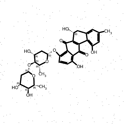 Cc1cc(O)c2c(c1)C[C@@H](O)C1=C2C(=O)c2c(O)ccc(O[C@H]3C[C@@H](O)[C@H](O[C@H]4C[C@@H](O)[C@H](O)[C@@H](C)O4)[C@@H](C)O3)c2C1=O